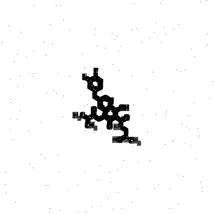 C[C@H](O)CNC(=O)c1c(O)c2ncc(Cc3ccc(F)c(F)c3)cc2n(CC(=O)N(C)C)c1=O